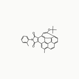 Cc1ccccc1-n1c(=O)c2c3cc(C)c4ccc5ccc6c(OC(C)(C)C)cc(c2c1=O)c1c6c5c4c31